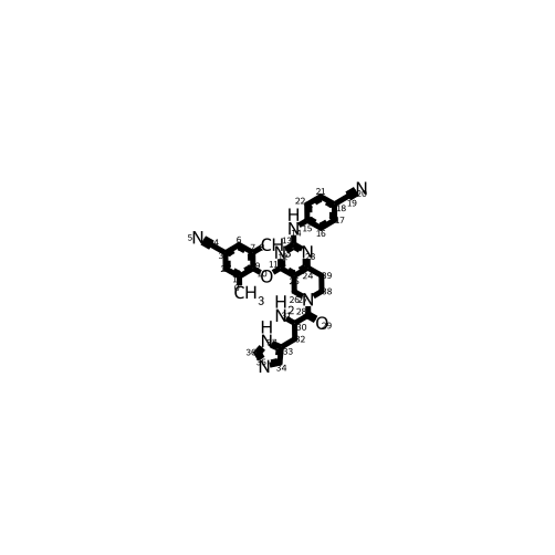 Cc1cc(C#N)cc(C)c1Oc1nc(Nc2ccc(C#N)cc2)nc2c1CN(C(=O)C(N)Cc1cnc[nH]1)CC2